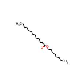 CCCCCCCCCCC=CC(=O)OCCCCCCCC